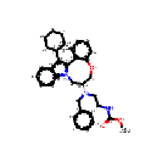 CC(C)(C)OC(=O)NCCN(Cc1ccccc1)[C@H]1COc2cccc(C(=O)O)c2-c2c(C3CCCCC3)c3ccccc3n2C1